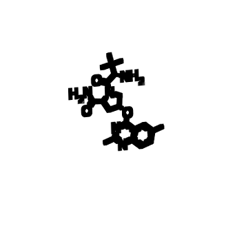 Cc1ccc2nc(C)nc(O[C@@H]3CC(C(N)=O)N(C(=O)[C@@H](N)C(C)(C)C)C3)c2c1